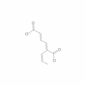 C\C=C/C(=C\C=C\C(=O)Cl)C(=O)Cl